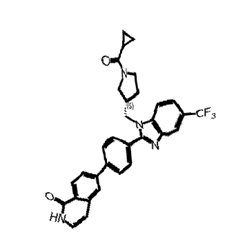 O=C(C1CC1)N1CC[C@H](Cn2c(-c3ccc(-c4ccc5c(=O)[nH]ccc5c4)cc3)nc3cc(C(F)(F)F)ccc32)C1